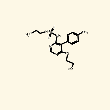 Bc1ccc(-c2c(NS(=O)(=O)NCCC)ncnc2OCCO)cc1